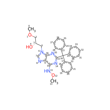 COC[C@@H](O)Cn1cnc2c(NOC)nc(C(c3ccccc3)(c3ccccc3)c3ccccc3)nc21